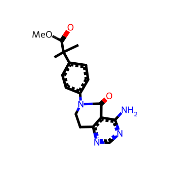 COC(=O)C(C)(C)c1ccc(N2CCc3ncnc(N)c3C2=O)cc1